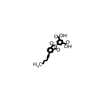 CCCCC#Cc1ccc2c(c1)C(=O)N(c1cc(C(=O)O)cc(C(=O)O)c1)C2=O